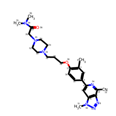 Cc1cc(-c2cc3c(nnn3C)c(C#N)n2)ccc1OCCCN1CCN(CC(=O)N(C)C)CC1